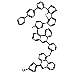 Cc1ccc(-c2cc3ccccc3c3c(Cc4cccc(-c5cc6cccc(-c7cc(-c8cccc9c8sc8c(-c%10cccc(-c%11ccc(-c%12ccccc%12)cc%11)c%10)cccc89)ccc7I)c6c6ccccc56)c4)cccc23)cc1